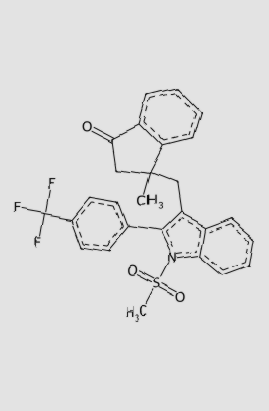 CC1(Cc2c(-c3ccc(C(F)(F)F)cc3)n(S(C)(=O)=O)c3ccccc23)CC(=O)c2ccccc21